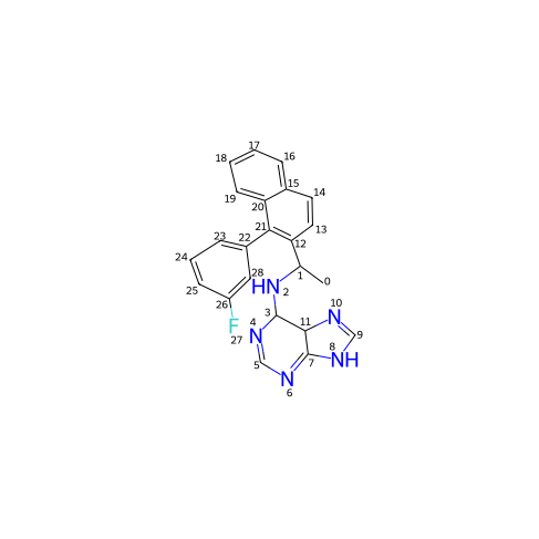 CC(NC1N=CN=C2NC=NC21)c1ccc2ccccc2c1-c1cccc(F)c1